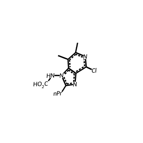 CCCc1nc2c(Cl)nc(C)c(C)c2n1NC(=O)O